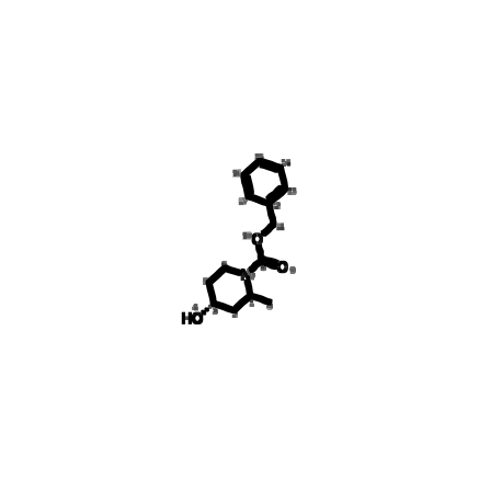 CC1C[C@H](O)CCN1C(=O)OCc1ccccc1